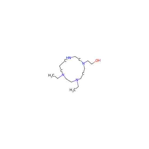 CCN1CCCNCCN(CCO)CCCN(CC)CC1